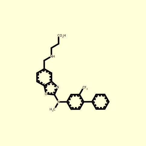 CN(c1ccc(-c2ccccc2)c(C(F)(F)F)c1)c1nc2cc(CNCCC(=O)O)ccc2o1